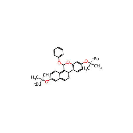 CC(C)(C)[Si](C)(C)Oc1ccc2c(c1)OC(Oc1ccccc1)c1c-2ccc2cc(O[Si](C)(C)C(C)(C)C)ccc12